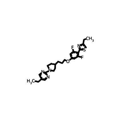 CCc1cnc(N2CCC(CCCOc3cc(F)c(-c4nc(CC)cs4)c(F)c3)CC2)nc1